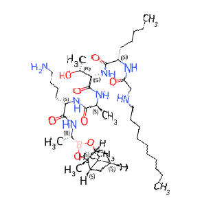 CCCCCCCCCCNCC(=O)N[C@@H](CCCCC)C(=O)N[C@H](C(=O)N[C@@H](C)C(=O)N[C@@H](CCCCN)C(=O)N[C@@H](C)B1O[C@@H]2C[C@@H]3C[C@@H](C3(C)C)[C@]2(C)O1)[C@@H](C)O